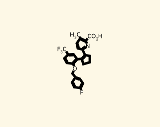 Cc1ccc(C2=C(c3cc(C(F)(F)F)ccc3OCc3ccc(F)cc3)CCC2)nc1C(=O)O